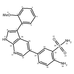 COc1ccccc1-c1c[nH]c2ncc(-c3ccc(N)c(S(N)(=O)=O)c3)cc12